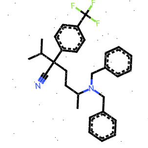 CC(CCC(C#N)(c1ccc(C(F)(F)F)cc1)C(C)C)N(Cc1ccccc1)Cc1ccccc1